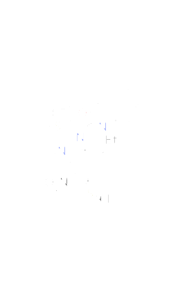 CCN(C(=O)n1c(SC(F)(F)F)nc2c([N+](=O)[O-])c(SC(F)(F)F)ccc21)c1ccccc1